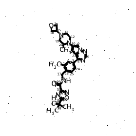 Cc1cc(-c2ncnn3cc(N4CCN(C5COC5)CC4C)cc23)ccc1CNC(=O)c1noc(C(C)(C)C)n1